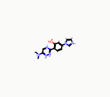 CN(C)c1cnc(-c2ccc(-n3ccnc3)cc2O)nn1